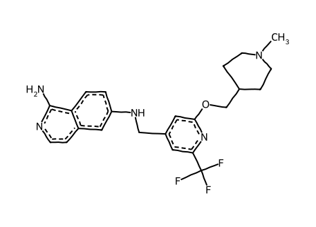 CN1CCC(COc2cc(CNc3ccc4c(N)nccc4c3)cc(C(F)(F)F)n2)CC1